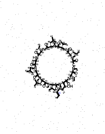 C/C=C/C[C@@H](C)[C@@H](O)[C@H]1C(=O)N[C@@H](CC)C(=O)N(C)CC(=O)N(C)[C@@H](CCC)C(=O)N[C@@H](C(C)C)C(=O)N(C)[C@@H](CC(C)C)C(=O)N[C@@H](CC)C(=O)N[C@H](C)C(=O)N(C)[C@@H](CC(C)C)C(=O)N(C)[C@H](CC(C)C)C(=O)N(C)[C@@H](C(C)C)C(=O)N1C